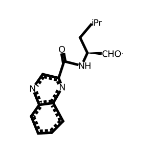 CC(C)C[C@@H]([C]=O)NC(=O)c1cnc2ccccc2n1